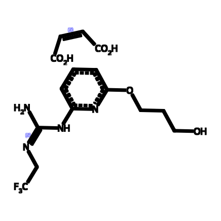 N/C(=N/CC(F)(F)F)Nc1cccc(OCCCO)n1.O=C(O)/C=C\C(=O)O